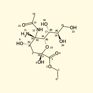 CCOC(=O)[C@]1(O)C[C@H](O)[C@](N)(NC(C)=O)[C@H]([C@H](O)[C@H](O)CO)O1